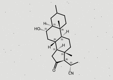 CC1CC[C@@]2(C)[C@H](C1)[C@@H](O)C[C@@H]1[C@@H]2CC[C@]2(C)[C@@H]([C@H](C)C#N)C(=O)C[C@@H]12